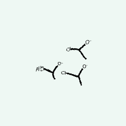 CC([O-])Cl.CC([O-])Cl.CC([O-])Cl.[Al+3]